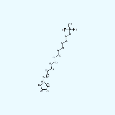 FC(F)(F)CCCCCCCCCCCCOCC1CCCO1